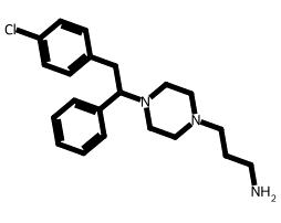 NCCCN1CCN(C(Cc2ccc(Cl)cc2)c2ccccc2)CC1